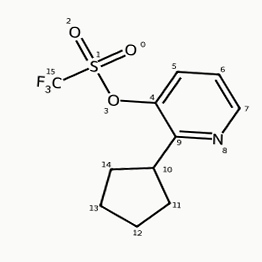 O=S(=O)(Oc1cccnc1C1CCCC1)C(F)(F)F